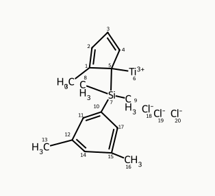 CC1=CC=C[C]1([Ti+3])[Si](C)(C)c1cc(C)cc(C)c1.[Cl-].[Cl-].[Cl-]